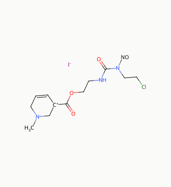 CN1CC=C[C+](C(=O)OCCNC(=O)N(CCCl)N=O)C1.[I-]